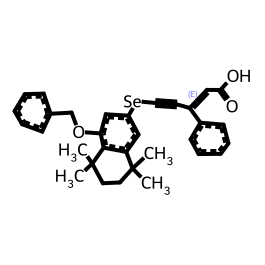 CC1(C)CCC(C)(C)c2c(OCc3ccccc3)cc([Se]C#C/C(=C/C(=O)O)c3ccccc3)cc21